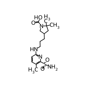 Cc1ccc(NCCCC2CN(C(=O)O)C(C)(C)C2)nc1S(N)(=O)=O